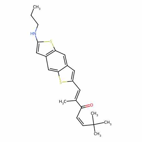 CCCNc1cc2cc3sc(/C=C(\C)C(=O)/C=C\C(C)(C)C)cc3cc2s1